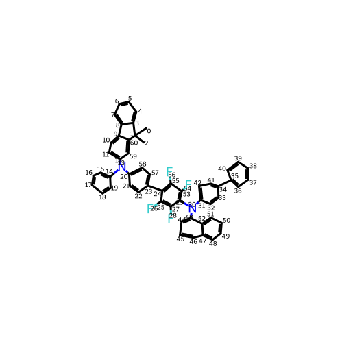 CC1(C)c2ccccc2-c2ccc(N(c3ccccc3)c3ccc(-c4c(F)c(F)c(N(c5ccc(-c6ccccc6)cc5)c5cccc6ccccc56)c(F)c4F)cc3)cc21